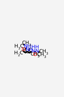 [CH2]CCC(CC(C)(C)NC(=O)NC(C)C)NC(=O)NC(C)C